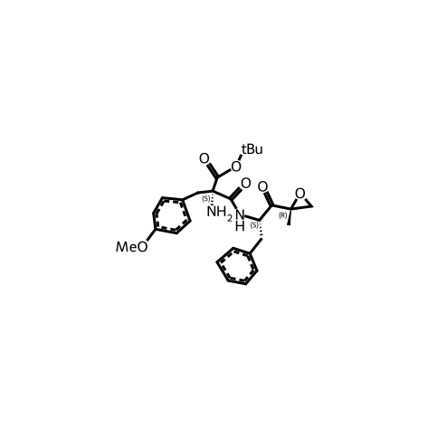 COc1ccc(C[C@](N)(C(=O)N[C@@H](Cc2ccccc2)C(=O)[C@@]2(C)CO2)C(=O)OC(C)(C)C)cc1